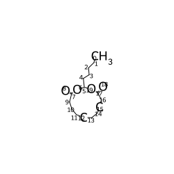 CCCCCC1OC(=O)CCCCCCCCC(=O)O1